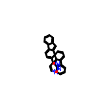 C1=CC2(C3=Cc4ccccc4C3=C1)C1=Cc3ccccc3C1=CC=C2c1ccnnn1